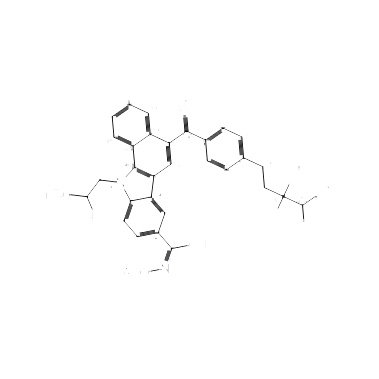 CCCCC(CC)Cn1c2ccc(/C(C)=N\OC(C)=O)cc2c2cc(C(=O)c3ccc(CCC(F)(F)C(F)F)cc3)c3ccccc3c21